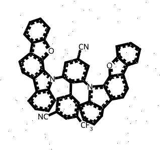 N#Cc1cc(-c2c(-n3c4ccccc4c4ccc5c6ccccc6oc5c43)cc(C#N)cc2-n2c3ccccc3c3ccc4c5ccccc5oc4c32)cc(C(F)(F)F)c1